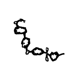 Cc1ccc(S(=O)(=O)c2ccc(Oc3ccc(-c4ccc(OC(C)C)cc4)cc3)cc2)cc1